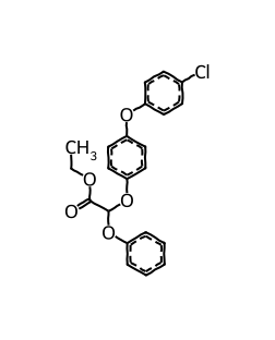 CCOC(=O)C(Oc1ccccc1)Oc1ccc(Oc2ccc(Cl)cc2)cc1